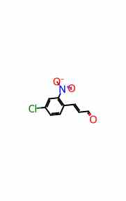 O=CC=Cc1ccc(Cl)cc1[N+](=O)[O-]